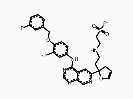 CCS(=O)(=O)CCNCCC1(c2cc3c(Nc4ccc(OCc5cccc(F)c5)c(Cl)c4)ncnc3cn2)CC=CO1